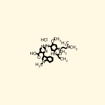 C=CC(=O)Nc1cc(Nc2ncc(C(=O)O)c(-c3cn(C)c4ccccc34)n2)c(OC)cc1N(C)CCN(C)C.Cl